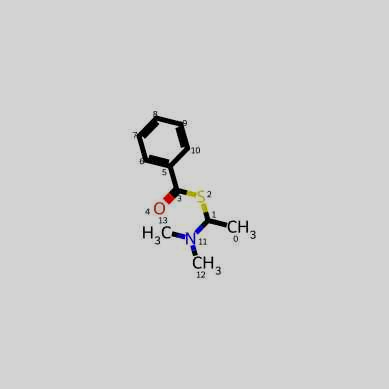 CC(SC(=O)c1ccccc1)N(C)C